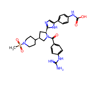 CS(=O)(=O)N1CCC([C@H]2C[C@@H](c3ncc(-c4ccc(NC(=O)O)cc4)[nH]3)N(C(=O)c3ccc(NC(=N)N)cc3)C2)CC1